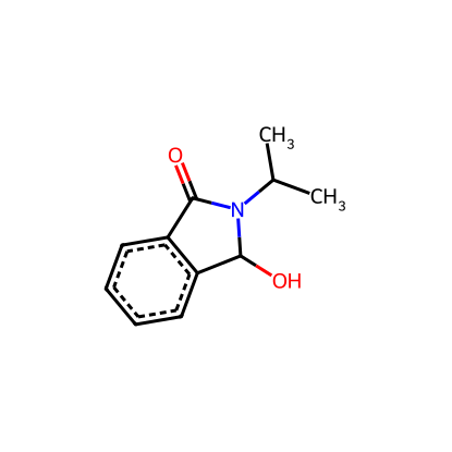 CC(C)N1C(=O)c2ccccc2C1O